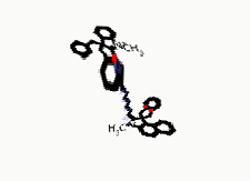 CN1/C(=C/C=C/C=C/C=C/C=C/C2=[N+](C)c3ccccc3C2(Cc2ccccc2)Cc2ccccc2)C(Cc2ccccc2)(Cc2ccccc2)c2c1ccc1ccccc21